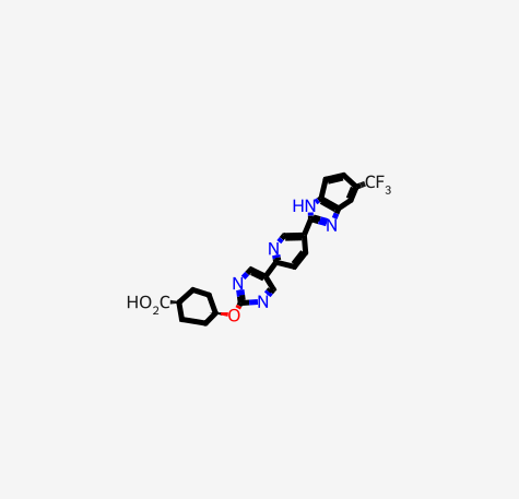 O=C(O)[C@H]1CC[C@@H](Oc2ncc(-c3ccc(-c4nc5cc(C(F)(F)F)ccc5[nH]4)cn3)cn2)CC1